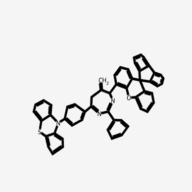 C=C1CC(c2ccc(N3c4ccccc4Sc4ccccc43)cc2)=NC(c2ccccc2)=NC1c1cccc2c1Oc1ccccc1C21c2ccccc2-c2ccccc21